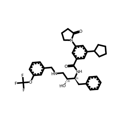 O=C(N[C@@H](Cc1ccccc1)[C@H](O)CNCc1cccc(OC(F)(F)F)c1)c1cc(C2CCCC2)cc(N2CCCC2=O)c1